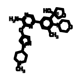 Cc1cc(-c2cnc(N)c(Oc3cnn(C4CCN(C)CC4)c3)n2)cc([C@]2(O)CCOC2)c1N1CCOCC1